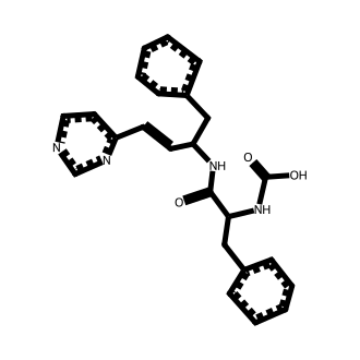 O=C(O)NC(Cc1ccccc1)C(=O)NC(/C=C/c1ccncn1)Cc1ccccc1